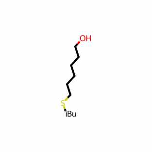 CCC(C)SCCCCCCO